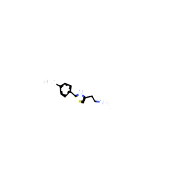 Cc1ccc(-c2nc(CCN)cs2)cc1